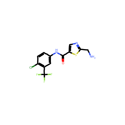 NCc1ncc(C(=O)Nc2ccc(Cl)c(C(F)(F)F)c2)s1